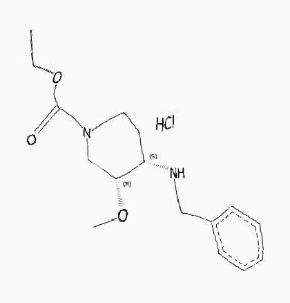 CCOC(=O)N1CC[C@H](NCc2ccccc2)[C@H](OC)C1.Cl